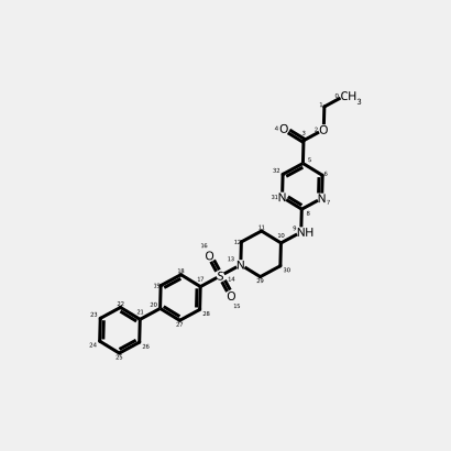 CCOC(=O)c1cnc(NC2CCN(S(=O)(=O)c3ccc(-c4ccccc4)cc3)CC2)nc1